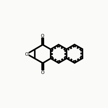 O=C1c2cc3ccccc3cc2C(=O)C2OC12